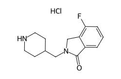 Cl.O=C1c2cccc(F)c2CN1CC1CCNCC1